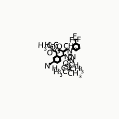 COC(=O)Cc1cc(C#N)ccc1C1C(C(=O)OC)=C(C)N(c2cccc(C(F)(F)F)c2)c2nnc(O[Si](C)(C)C(C)(C)C)n21